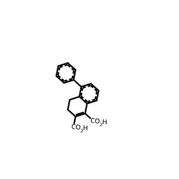 O=C(O)C1=C(C(=O)O)c2cccc(-c3ccccc3)c2CC1